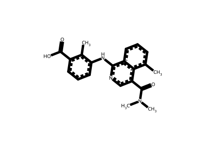 Cc1c(Nc2ncc(C(=O)N(C)C)c3c(C)cccc23)cccc1C(=O)O